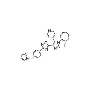 FC1=C(n2nnc(-c3nc(-c4ccc(Cn5cccn5)cc4)no3)c2-c2ccncc2)C=CCC=C1